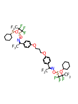 FC(F)(F)C(=NOSC(F)(F)C(F)(OSC1CCCCC1)C(F)(F)F)c1ccc(OCCCOc2ccc(C(=NOSC(F)(F)C(F)(OC3CCCCC3)C(F)(F)F)C(F)(F)F)cc2)cc1